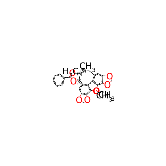 COc1c2c(cc3c1-c1c(cc4c(c1OC)OCO4)[C@H](OC(=O)c1ccccc1)[C@@H](C)[C@@H](C)C3)OCO2